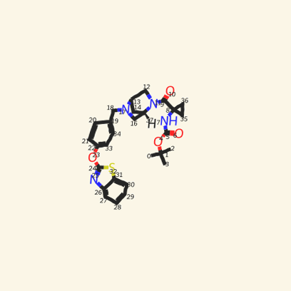 CC(C)(C)OC(=O)NC1(C(=O)N2CC3C[C@H]2CN3Cc2ccc(Oc3nc4ccccc4s3)cc2)CC1